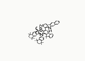 CC1(C)CCC(C)(C)c2cc(N3c4c(c(-c5cccc6c5[nH]c5cc7ccccc7cc56)cc5c4C(C)(C)c4ccccc4-5)Bc4sc5cc6c(cc5c43)C(C)(C)CCC6(C)C)ccc21